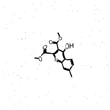 COC(=O)c1nc2cc(C)ccc2c(O)c1C(=O)OC